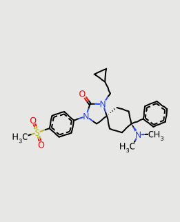 CN(C)[C@]1(c2ccccc2)CC[C@]2(CC1)CN(c1ccc(S(C)(=O)=O)cc1)C(=O)N2CC1CC1